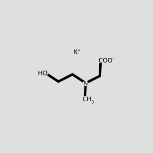 CN(CCO)CC(=O)[O-].[K+]